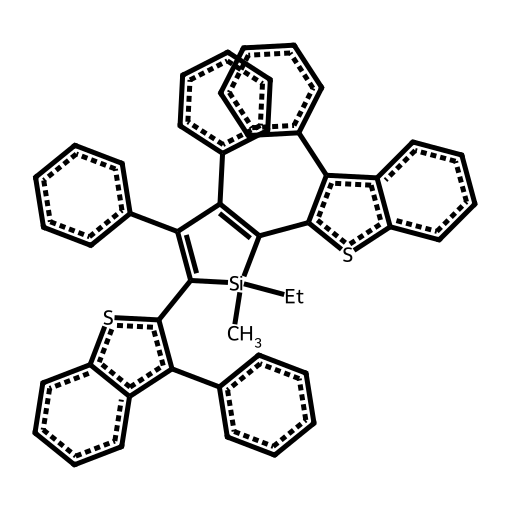 CC[Si]1(C)C(c2sc3ccccc3c2-c2ccccc2)=C(c2ccccc2)C(c2ccccc2)=C1c1sc2ccccc2c1-c1ccccc1